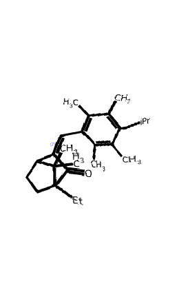 CCC12CCC(/C(=C/c3c(C)c(C)c(C(C)C)c(C)c3C)C1=O)C2(C)C